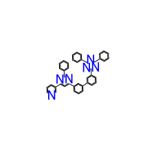 c1ccc(-c2nc(-c3cccnc3)cc(-c3cccc(-c4cccc(-c5nc(-c6ccccc6)nc(-c6ccccc6)n5)c4)c3)n2)cc1